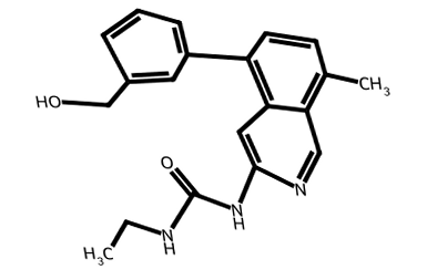 CCNC(=O)Nc1cc2c(-c3cccc(CO)c3)ccc(C)c2cn1